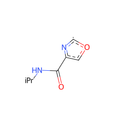 CC(C)NC(=O)c1co[c]n1